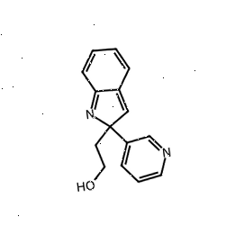 OCCC1(c2cccnc2)C=c2ccccc2=N1